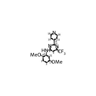 COc1ccc(OC)c(Nc2cc(C(F)(F)F)nc(-c3ccncc3)n2)c1